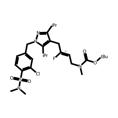 CC(C)c1nn(Cc2ccc(S(=O)(=O)N(C)C)c(Cl)c2)c(C(C)C)c1C/C(F)=C/CN(C)C(=O)OC(C)(C)C